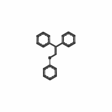 C(Oc1ccccc1)=C(c1ccccc1)c1ccccc1